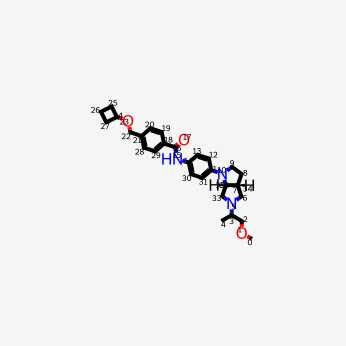 COCC(C)N1C[C@H]2CCN(c3ccc(NC(=O)c4ccc(COC5CCC5)cc4)cc3)[C@H]2C1